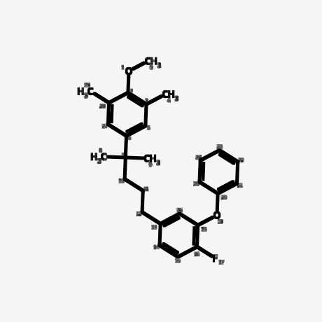 COc1c(C)cc(C(C)(C)CCCc2ccc(F)c(Oc3ccccc3)c2)cc1C